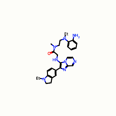 CCN(CCN(C)C(=O)CNc1c(-c2ccc3c(c2)CCN3CC)nc2cnccn12)c1ccccc1N